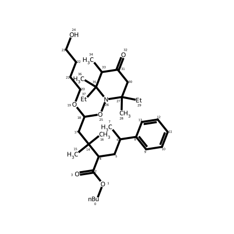 CCCCOC(=O)C(CC(C)c1ccccc1)C(C)(C)CC(OCCCCO)ON1C(C)(CC)CC(=O)C(C)C1(C)CC